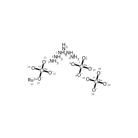 N.N.N.N.N.N.[O-][Cl+3]([O-])([O-])[O-].[O-][Cl+3]([O-])([O-])[O-].[O-][Cl+3]([O-])([O-])[O-].[Ru+3]